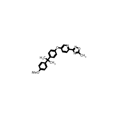 COc1ccc(C(C)(C)c2ccc(Oc3ccc(-c4noc(C)n4)nc3)cc2)cc1